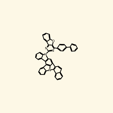 c1ccc(-c2ccc(-c3nc(-n4c5ccccc5c5c6c7ccccc7n7c8c9ccccc9ccc8c(cc54)c67)nc4c3oc3ccccc34)cc2)cc1